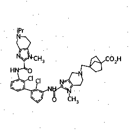 CC(C)N1CCc2c(nc(C(=O)Nc3cccc(-c4cccc(NC(=O)c5nc6c(n5C)CCN(CC57CCC(C(=O)O)(CC5)C7)C6)c4Cl)c3Cl)n2C)C1